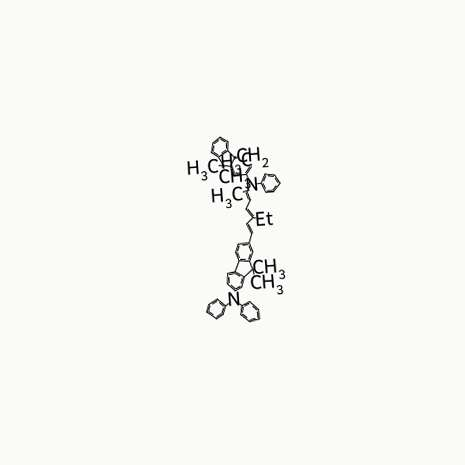 C=C1/C(=C\C(=C/C)N(/C(C)=C/C=C(/C=C/c2ccc3c(c2)C(C)(C)c2cc(N(c4ccccc4)c4ccccc4)ccc2-3)CC)c2ccccc2)C(C)(C)c2ccccc21